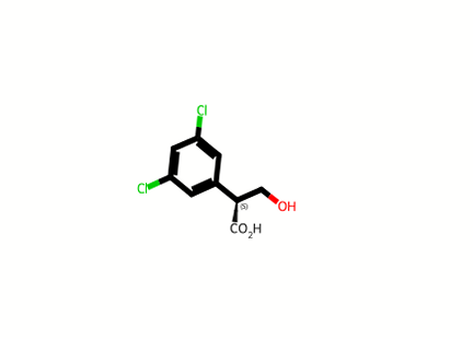 O=C(O)[C@H](CO)c1cc(Cl)cc(Cl)c1